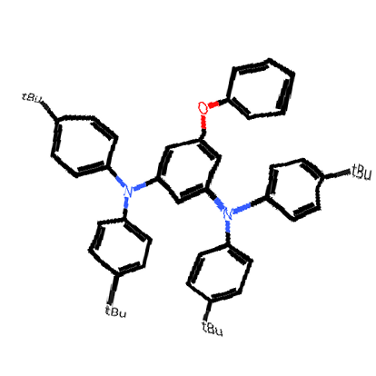 CC(C)(C)c1ccc(N(c2ccc(C(C)(C)C)cc2)c2cc(Oc3ccccc3)cc(N(c3ccc(C(C)(C)C)cc3)c3ccc(C(C)(C)C)cc3)c2)cc1